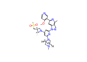 COc1ccncc1-c1cc2c(cnn2-c2cc(N3C[C@H](CS(C)(=O)=O)[C@H]3C)cc(N3C[C@H]4C[C@@H]3CN4C)n2)c(C)n1